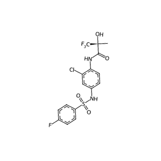 C[C@@](O)(C(=O)Nc1ccc(NS(=O)(=O)c2ccc(F)cc2)cc1Cl)C(F)(F)F